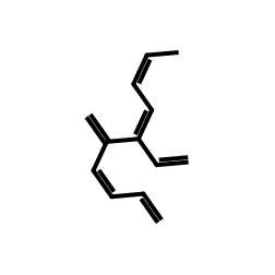 C=C/C=C\C(=C)/C(C=C)=C\C=C/C